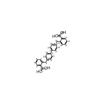 OB(O)c1ccccc1C[n+]1ccc(-c2cc[n+](Cc3ccccc3B(O)O)cc2)cc1